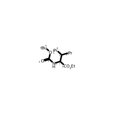 CCOC(=O)C(NC(=O)OC(C)(C)C)C(C(C)C)C(C)C